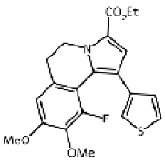 CCOC(=O)c1cc(-c2ccsc2)c2n1CCc1cc(OC)c(OC)c(F)c1-2